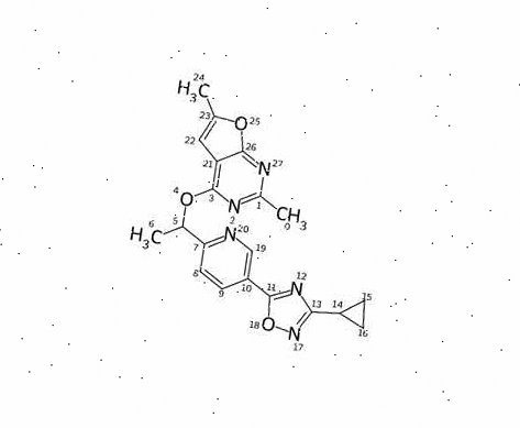 Cc1nc(OC(C)c2ccc(-c3nc(C4CC4)no3)cn2)c2cc(C)oc2n1